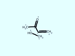 C=CC(C)=O.CO